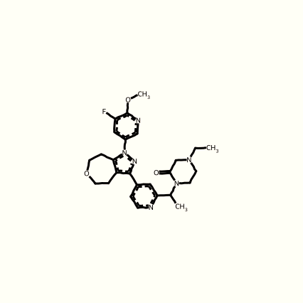 CCN1CCN(C(C)c2cc(-c3nn(-c4cnc(OC)c(F)c4)c4c3CCOCC4)ccn2)C(=O)C1